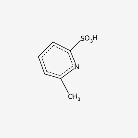 Cc1cccc(S(=O)(=O)O)n1